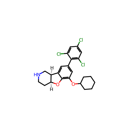 Clc1cc(Cl)c(-c2cc(OC3CCCCC3)c3c(c2)[C@@H]2CNCC[C@@H]2O3)c(Cl)c1